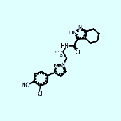 C[C@@H](Cn1ccc(-c2ccc(C#N)c(Cl)c2)n1)NC(=O)c1[nH]nc2c1CCCC2